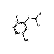 CCC(CC)Sc1cc([N+](=O)[O-])ccc1C